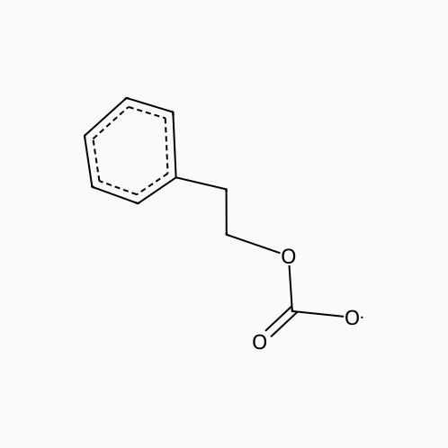 [O]C(=O)OCCc1ccccc1